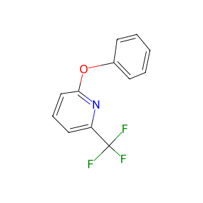 FC(F)(F)c1cccc(Oc2ccccc2)n1